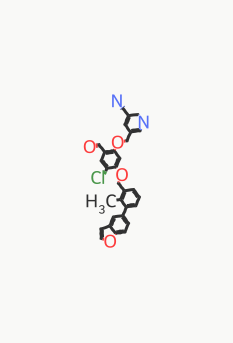 Cc1c(COc2cc(OCc3cncc(C#N)c3)c(C=O)cc2Cl)cccc1-c1ccc2occc2c1